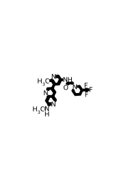 CNc1cc2ncc(-c3cc(NC(=O)CN4CCCC(C(F)(F)F)C4)cnc3C)cc2cn1